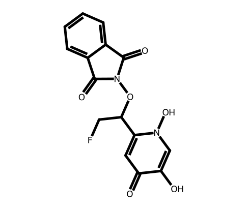 O=C1c2ccccc2C(=O)N1OC(CF)c1cc(=O)c(O)cn1O